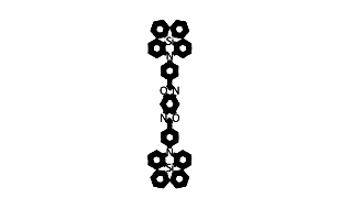 c1ccc([Si]2(c3ccccc3)c3ccccc3N(c3ccc(-c4nc5cc6oc(-c7ccc(N8c9ccccc9[Si](c9ccccc9)(c9ccccc9)c9ccccc98)cc7)nc6cc5o4)cc3)c3ccccc32)cc1